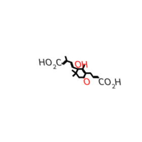 CC(C=C[C@@]1(O)C(C)=C(CC=CC(=O)O)C(=O)CC1(C)C)=CC(=O)O